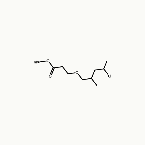 CCCCOC(=O)CCOCC(C)CC(C)Cl